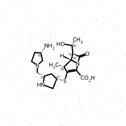 C[C@@H](O)[C@H]1C(=O)N2C(C(=O)O)=C(S[C@@H]3CN[C@H](CN4CC[C@H](N)C4)C3)[C@H](C)[C@H]12